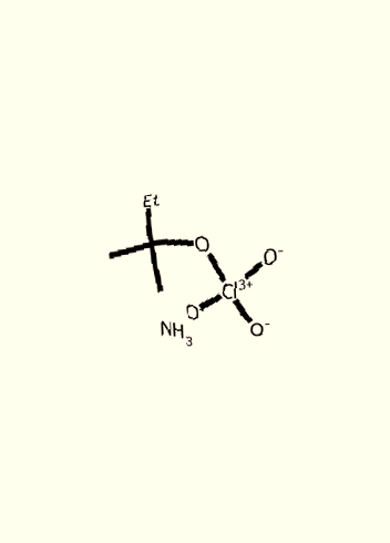 CCC(C)(C)O[Cl+3]([O-])([O-])[O-].N